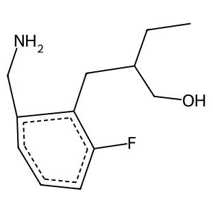 CCC(CO)Cc1c(F)cccc1CN